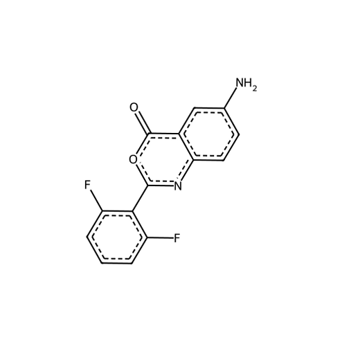 Nc1ccc2nc(-c3c(F)cccc3F)oc(=O)c2c1